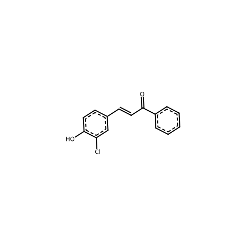 O=C(C=Cc1ccc(O)c(Cl)c1)c1ccccc1